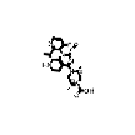 CC(C)c1nccc(F)c1N1C(=C=O)N=C(N2C[C@@H](C)N(C(=O)O)C[C@@H]2C)C2=C1CNCC2